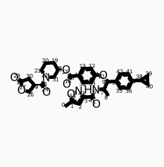 Cc1cc(C(=O)NC(C)C(Oc2ccc(C(=O)O[C@H]3CCCN(C(=O)[C@H]4COC(=O)C4)C3)cc2)c2ccc(C3CC3)cc2)no1